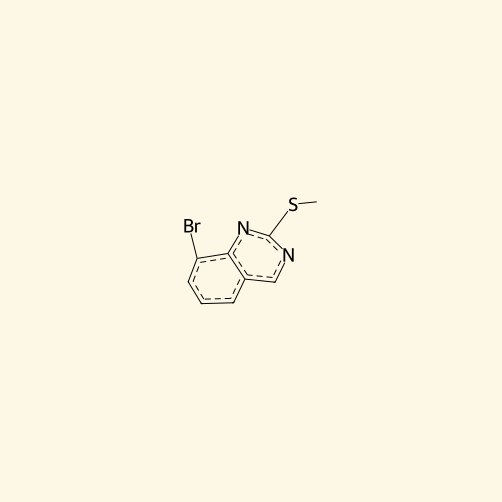 CSc1ncc2cccc(Br)c2n1